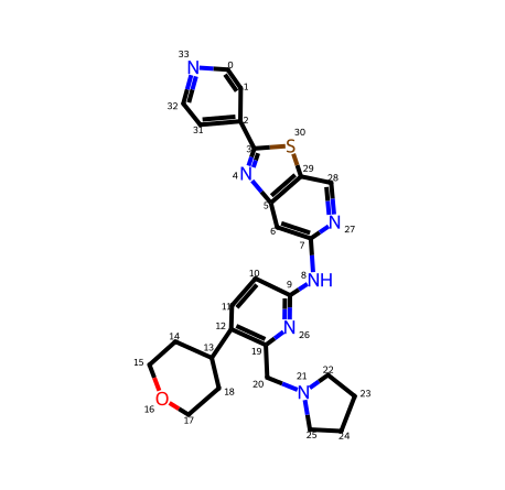 c1cc(-c2nc3cc(Nc4ccc(C5CCOCC5)c(CN5CCCC5)n4)ncc3s2)ccn1